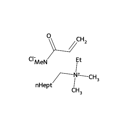 C=CC(=O)NC.CCCCCCCC[N+](C)(C)CC.[Cl-]